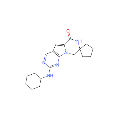 O=C1NC2(CCCC2)Cn2c1cc1cnc(NC3CCCCC3)nc12